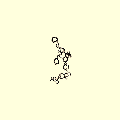 Cn1nc(-c2ccc(OCc3ccccc3)nc2OCc2ccccc2)c2ccc(N3CCN(C(=O)C4CCN(C(=O)OC(C)(C)C)CC4F)CC3)cc21